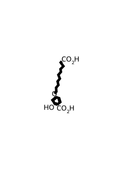 O=C(O)CCCCCCCCCCOc1ccc(C(=O)O)c(O)c1